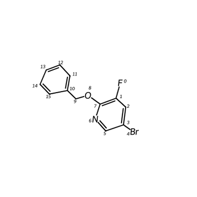 Fc1cc(Br)cnc1OCc1ccccc1